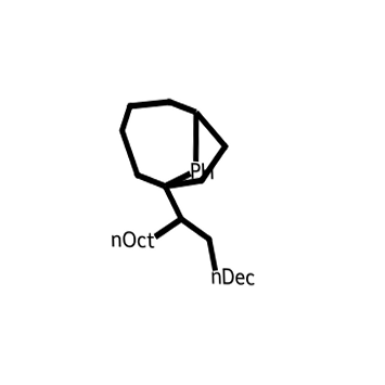 CCCCCCCCCCCC(CCCCCCCC)C12CCCCC(CC1)P2